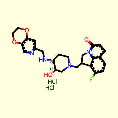 Cl.Cl.O=c1ccc2ccc(F)c3c2n1CC3CN1CC[C@H](NCc2cc3c(cn2)OCCO3)[C@H](O)C1